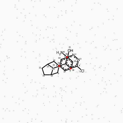 Nc1nnc(Cl)cc1N1CC2CCC(C1)N2c1cccc(O)c1